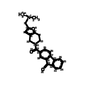 CN(C)Cc1cc2c(o1)CCN(C(=O)c1ccc3c(c1)C(=O)c1ccccc1-3)C2